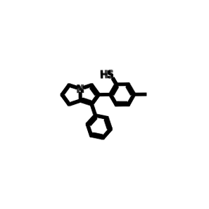 Cc1ccc(-c2cn3c(c2-c2ccccc2)CCC3)c(S)c1